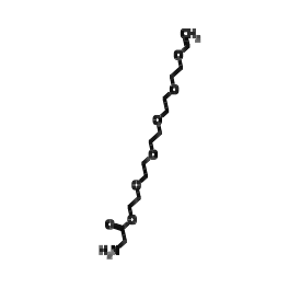 C=COCCOCCOCCOCCOCCOC(=O)CN